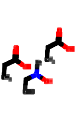 CCC(=O)O.CCC(=O)O.CCN(O)CC=O